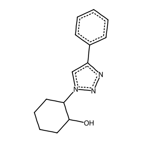 OC1CCCCC1n1cc(-c2ccccc2)nn1